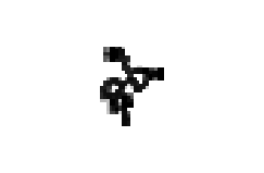 OCCC1CNCC=C1c1ccnc2c1=NC(=S)N=2